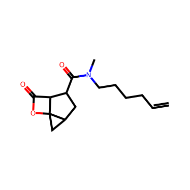 C=CCCCCN(C)C(=O)C1CC2CC23OC(=O)C13